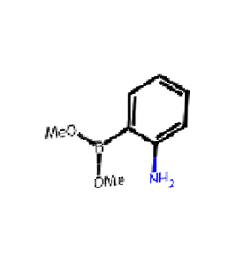 COB(OC)c1ccccc1N